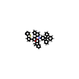 CC1(C)c2ccccc2-c2cc(N(c3ccc(C(c4ccccc4)(c4ccccc4)c4ccccc4)cc3)c3ccc4ccccc4c3-c3cccc(-c4cccc5c4sc4ccccc45)c3)ccc21